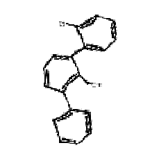 CCc1ccccc1-c1cccc(-c2ccccc2)c1CC